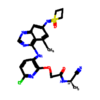 Cc1cc(N=S2(=O)CCC2)cc2ncnc(Nc3ccc(Cl)nc3OCC(=O)N[C@@H](C)C#N)c12